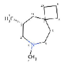 C[C@H]1CN(C)CCC2(CCC2)C1